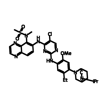 CCc1cc(Nc2ncc(Cl)c(Nc3ccc4nccnc4c3N(C)S(C)(=O)=O)n2)c(OC)cc1N1CC2CCC1CN2C(C)C